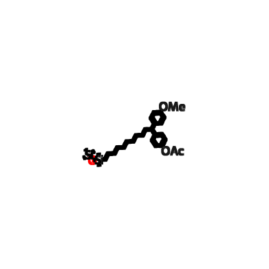 COc1ccc(C(CCCCCCCCCC[Si](C)(C)O[Si](C)(C)C)c2ccc(OC(C)=O)cc2)cc1